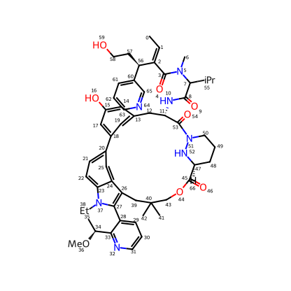 C/C=C(/C(=O)N(C)C(C(=O)N[C@H]1Cc2cc(O)cc(c2)-c2ccc3c(c2)c(c(-c2cccnc2[C@H](C)OC)n3CC)CC(C)(C)COC(=O)[C@@H]2CCCN(N2)C1=O)C(C)C)[C@H](CCO)c1cccnc1